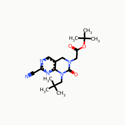 CC(C)(C)CN1C(=O)N(CC(=O)OC(C)(C)C)Cc2cnc(C#N)nc21